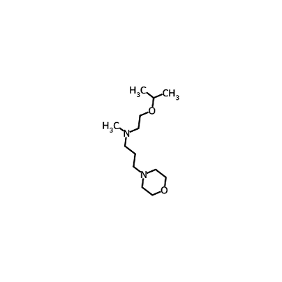 CC(C)OCCN(C)CCCN1CCOCC1